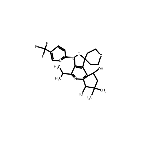 CC(C)c1nc2c(c3c1[C@@H](c1ccc(C(F)(F)F)cn1)OC31CCOCC1)C(O)CC(C)(C)C2O